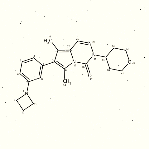 Cc1c(-c2cccc(N3CCC3)c2)c(C)n2c(=O)n(C3CCOCC3)ncc12